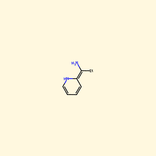 CC/C(N)=C1\C=CC=CN1